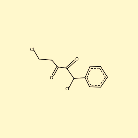 O=C(CCCl)C(=O)C(Cl)c1ccccc1